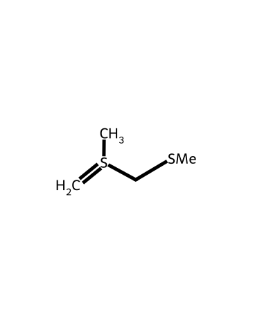 C=S(C)CSC